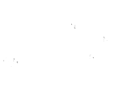 Cn1cnc(CC[N+](=O)[O-])n1